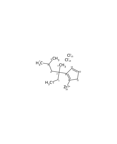 CCC(C)(CC(C)C)C1=[C]([Zr+2])CC=C1.[Cl-].[Cl-]